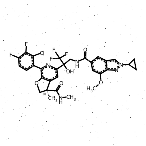 CNC(=O)[C@@]1(C)COc2c1cc(C(O)(CNC(=O)c1cc(OC)c3nn(C4CC4)cc3c1)C(F)(F)F)nc2-c1ccc(F)c(F)c1Cl